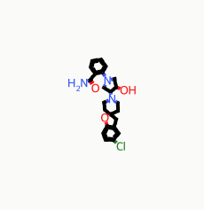 NC(=O)c1ccccc1N1CC(O)C(N2CCC3(CC2)Cc2cc(Cl)ccc2O3)C1